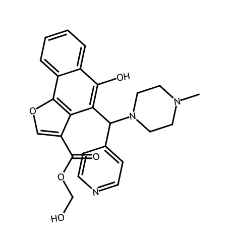 CN1CCN(C(c2ccncc2)c2c(O)c3ccccc3c3occ(C(=O)OCO)c23)CC1